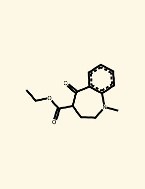 CCOC(=O)C1CCN(C)c2ccccc2C1=O